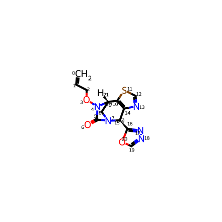 C=CCON1C(=O)N2C[C@H]1c1scnc1[C@H]2c1nnco1